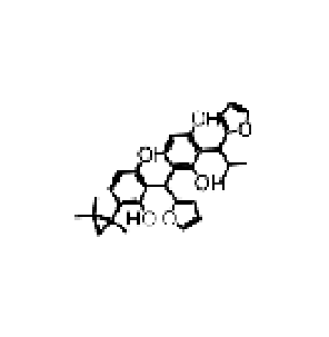 CC(C)C(c1ccco1)c1c(O)ccc(C(c2ccco2)c2c(O)ccc(C3(C)CC3(C)C)c2O)c1O